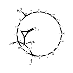 C=C1CC1[C@@]1(C)C[C@H]2CCCCCPCCCCCCC(C)CCC[C@H]1CC2